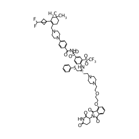 CC1(C)CCC(CN2CCN(c3ccc(C(=O)NS(=O)(=O)c4ccc(N[C@H](CCN5CCN(CCOCCOc6cccc7c6C(=O)N(C6CCC(=O)NC6=O)C7=O)CC5)CSc5ccccc5)c(S(=O)(=O)C(F)(F)F)c4)cc3)CC2)=C(C23CC(C(F)F)(C2)C3)C1